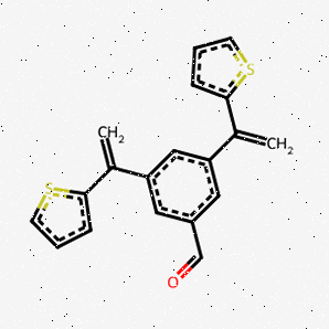 C=C(c1cc(C=O)cc(C(=C)c2cccs2)c1)c1cccs1